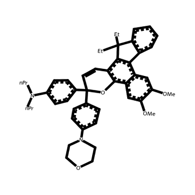 CCCN(CCC)c1ccc(C2(c3ccc(N4CCOCC4)cc3)C=Cc3c4c(c5cc(OC)c(OC)cc5c3O2)-c2ccccc2C4(CC)CC)cc1